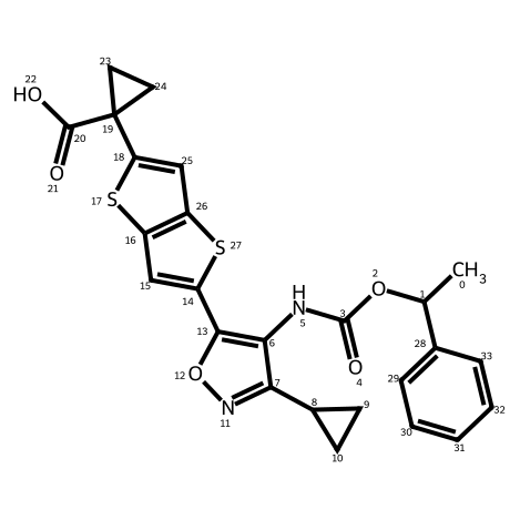 CC(OC(=O)Nc1c(C2CC2)noc1-c1cc2sc(C3(C(=O)O)CC3)cc2s1)c1ccccc1